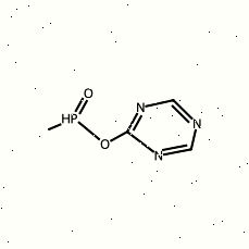 C[PH](=O)Oc1ncncn1